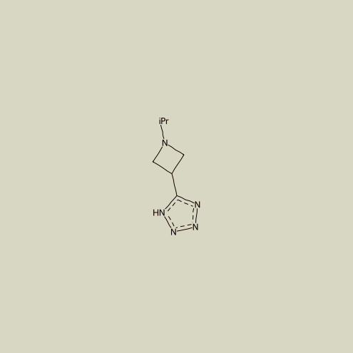 CC(C)N1CC(c2nnn[nH]2)C1